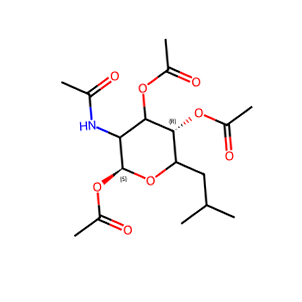 CC(=O)NC1C(OC(C)=O)[C@H](OC(C)=O)C(CC(C)C)O[C@H]1OC(C)=O